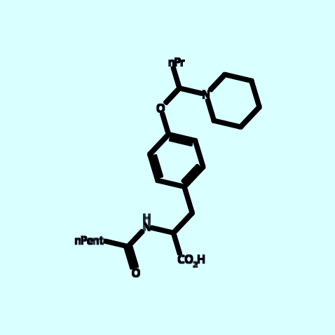 CCCCCC(=O)NC(Cc1ccc(OC(CCC)N2CCCCC2)cc1)C(=O)O